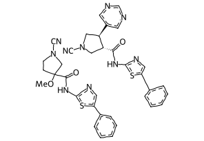 COC1(C(=O)Nc2ncc(-c3ccccc3)s2)CCN(C#N)C1.N#CN1C[C@@H](C(=O)Nc2ncc(-c3ccccc3)s2)[C@H](c2cncnc2)C1